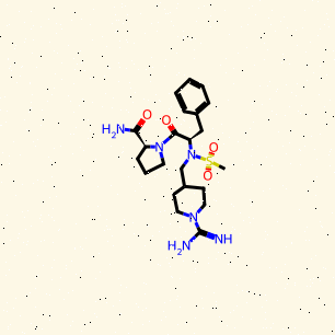 CS(=O)(=O)N(CC1CCN(C(=N)N)CC1)[C@H](Cc1ccccc1)C(=O)N1CCC[C@H]1C(N)=O